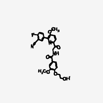 COc1cc(C(=O)NCC(=O)c2ccc(OC)c(-c3ccc(F)c(C#N)c3)n2)ccc1OCCO